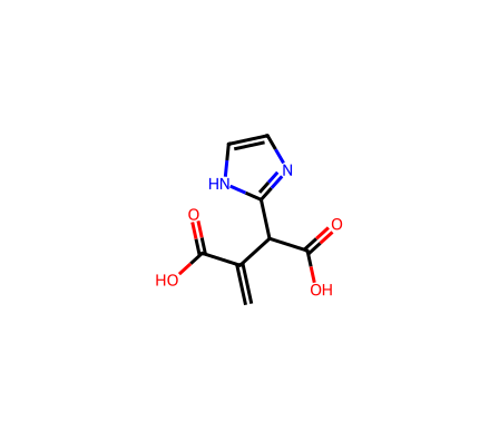 C=C(C(=O)O)C(C(=O)O)c1ncc[nH]1